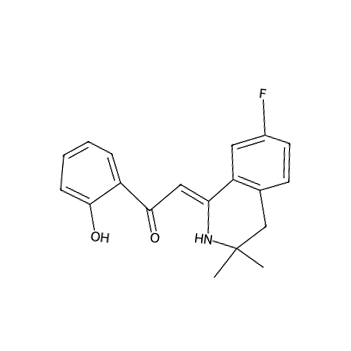 CC1(C)Cc2ccc(F)cc2C(=CC(=O)c2ccccc2O)N1